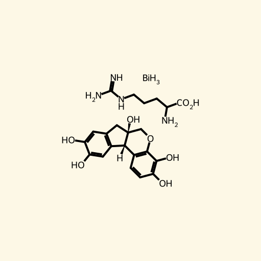 N=C(N)NCCCC(N)C(=O)O.Oc1cc2c(cc1O)[C@H]1c3ccc(O)c(O)c3OC[C@@]1(O)C2.[BiH3]